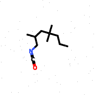 CCCC(C)(C)CC(C)CN=C=O